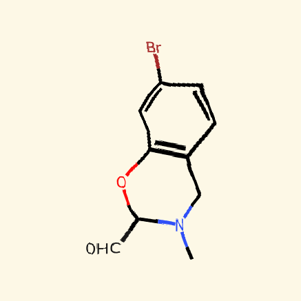 CN1Cc2ccc(Br)cc2OC1C=O